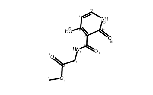 COC(=O)CNC(=O)c1c(O)cc[nH]c1=O